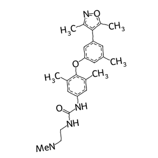 CNCCNC(=O)Nc1cc(C)c(Oc2cc(C)cc(-c3c(C)noc3C)c2)c(C)c1